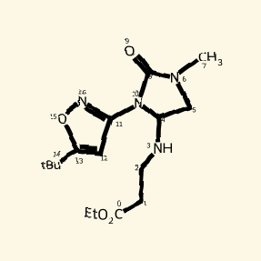 CCOC(=O)CCNC1CN(C)C(=O)N1c1cc(C(C)(C)C)on1